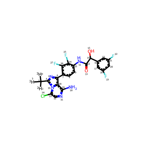 [2H]C([2H])([2H])c1nc(-c2ccc(NC(=O)C(O)c3cc(F)cc(F)c3)c(F)c2F)c2c(N)ncc(Cl)n12